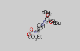 C=C1/C(=C\C=C2/CCC[C@]3(C)[C@@H]([C@H](C)/C=C/C(=O)C(C)(C)OC(=O)OCC)CC[C@@H]23)C[C@@H](O[Si](C)(C)C(C)(C)C)C[C@@H]1O[Si](C)(C)C(C)(C)C